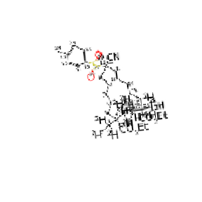 [2H]C([2H])([2H])C(CCCCCC(C#N)(CCCCCC(C(=O)OCC)(C([2H])([2H])[2H])C([2H])([2H])[2H])S(=O)(=O)c1ccc(C)cc1)(C(=O)OCC)C([2H])([2H])[2H]